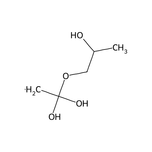 [CH2]C(O)(O)OCC(C)O